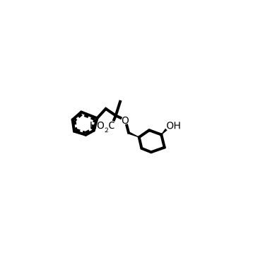 CC(Cc1ccccc1)(OC[C@@H]1CCC[C@H](O)C1)C(=O)O